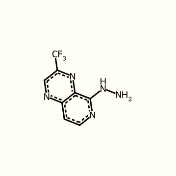 NNc1nccc2ncc(C(F)(F)F)nc12